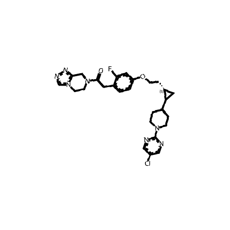 O=C(Cc1ccc(OCC[C@@H]2CC2C2CCN(c3ncc(Cl)cn3)CC2)cc1F)N1CCn2cnnc2C1